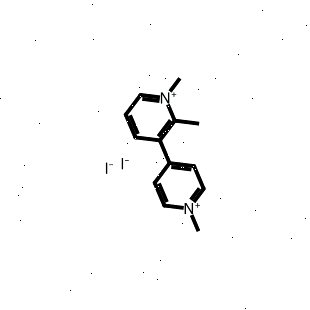 Cc1c(-c2cc[n+](C)cc2)ccc[n+]1C.[I-].[I-]